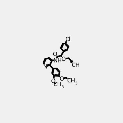 C#CCOC(C(=O)Nc1cccnc1-c1ccc(OCC)c(OC)c1)c1ccc(Cl)cc1